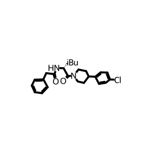 CCC(C)[C@@H](NC(=O)Cc1ccccc1)C(=O)N1CCC(c2ccc(Cl)cc2)CC1